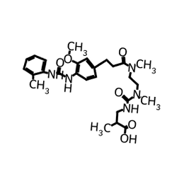 COc1cc(CCC(=O)N(C)CCN(C)C(=O)NCC(C)C(=O)O)ccc1NC(=O)Nc1ccccc1C